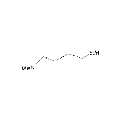 CNCCCC[SeH]